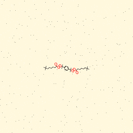 CC(C)(C)CCCCCC(=O)OOC(C)(C)c1ccc(C(C)(C)OOC(=O)CCCCCC(C)(C)C)cc1